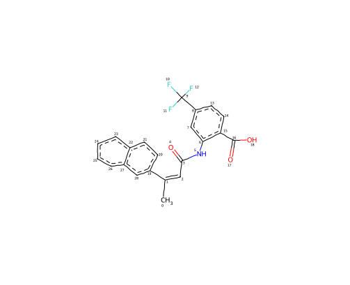 C/C(=C/C(=O)Nc1cc(C(F)(F)F)ccc1C(=O)O)c1ccc2ccccc2c1